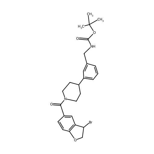 CC(C)(C)OC(=O)NCc1cccc(C2CCN(C(=O)c3ccc4c(c3)C(Br)CO4)CC2)c1